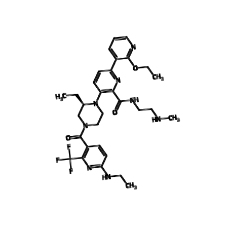 CCNc1ccc(C(=O)N2CCN(c3ccc(-c4cccnc4OCC)nc3C(=O)NCCNC)[C@H](CC)C2)c(C(F)(F)F)n1